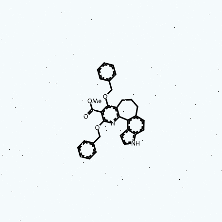 COC(=O)c1c(OCc2ccccc2)nc2c(c1OCc1ccccc1)CCCc1ccc3[nH]ccc3c1-2